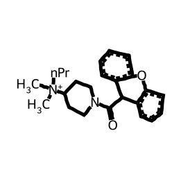 CCC[N+](C)(C)C1CCN(C(=O)C2c3ccccc3Oc3ccccc32)CC1